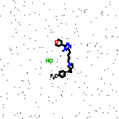 Cl.Cn1c(CCCCN2CC[C@]3(C[C@H]3c3ccc(C(F)(F)F)cc3)C2)nnc1C1CCOCC1